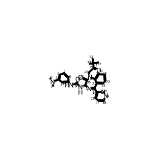 CN(C)c1cccc(NC(=O)N[C@@H]2N=C(c3cccnn3)c3ccccc3N(CC(=O)C(C)(C)C)C2=O)c1